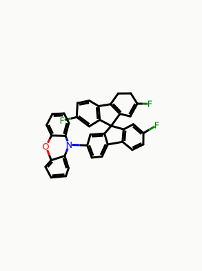 FC1=CC2=C(CC1)c1ccc(F)cc1C21c2cc(F)ccc2-c2ccc(N3c4ccccc4Oc4ccccc43)cc21